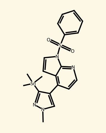 Cn1cc(-c2ccnc3c2ccn3S(=O)(=O)c2ccccc2)[c]([Sn]([CH3])([CH3])[CH3])n1